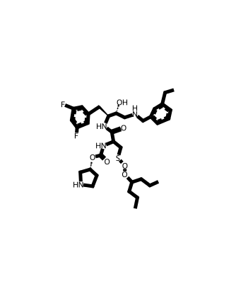 CCCC(CCC)OOSCC(NC(=O)O[C@@H]1CCNC1)C(=O)N[C@@H](Cc1cc(F)cc(F)c1)[C@H](O)CNCc1cccc(CC)c1